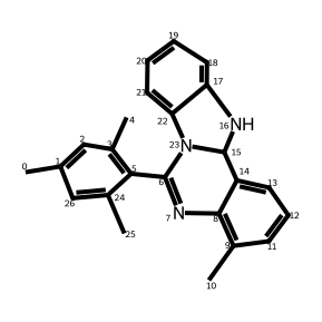 Cc1cc(C)c(C2=Nc3c(C)cccc3C3Nc4ccccc4N23)c(C)c1